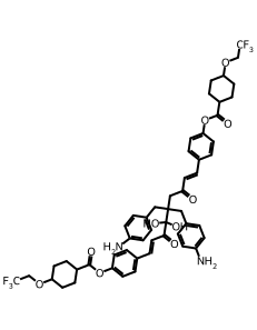 Nc1ccc(CC(CC(=O)/C=C/c2ccc(OC(=O)C3CCC(OCC(F)(F)F)CC3)cc2)(Cc2ccc(N)cc2)C(O)(O)C(=O)/C=C/c2ccc(OC(=O)C3CCC(OCC(F)(F)F)CC3)cc2)cc1